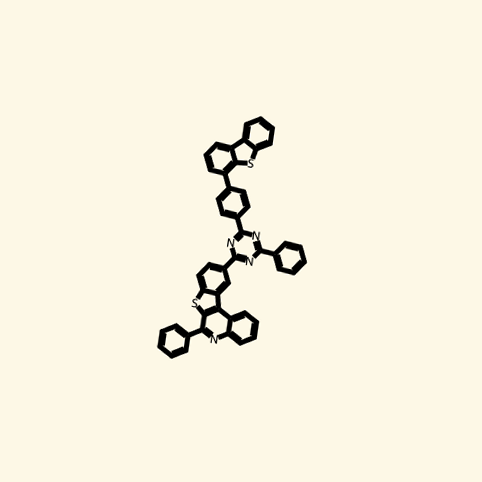 c1ccc(-c2nc(-c3ccc(-c4cccc5c4sc4ccccc45)cc3)nc(-c3ccc4sc5c(-c6ccccc6)nc6ccccc6c5c4c3)n2)cc1